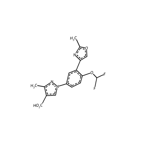 Cc1nc(-c2cc(-n3cc(C(=O)O)c(C)n3)ccc2OC(F)F)co1